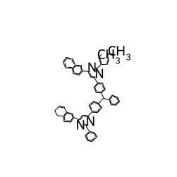 C/C=C(\C=C/CC)c1nc(-c2ccc(C(c3ccccc3)c3ccc(-c4cc(-c5ccc6c(c5)C=CCC6)nc(-c5ccccc5)n4)cc3)cc2)cc(-c2ccc3ccccc3c2)n1